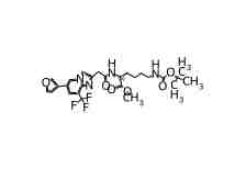 COC(=O)[C@H](CCCCNC(=O)OC(C)(C)C)NC(=O)Cc1cn2cc(-c3ccoc3)cc(C(F)(F)F)c2n1